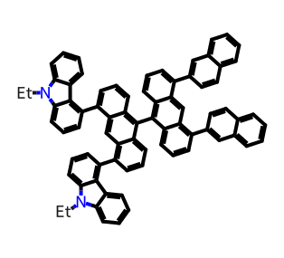 CCn1c2ccccc2c2c(-c3cccc4c(-c5c6cccc(-c7ccc8ccccc8c7)c6cc6c(-c7ccc8ccccc8c7)cccc56)c5cccc(-c6cccc7c6c6ccccc6n7CC)c5cc34)cccc21